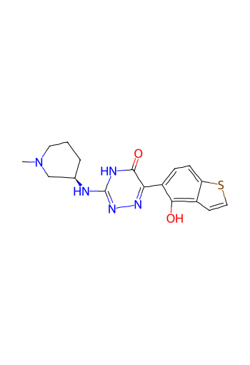 CN1CCC[C@@H](Nc2nnc(-c3ccc4sccc4c3O)c(=O)[nH]2)C1